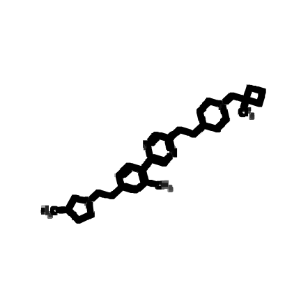 Cc1cc(CCN2CCC(C)C2)ccc1-c1cnc(CCC2CCN(CC3(C(F)(F)F)CCC3)CC2)cn1